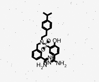 CC(C)c1ccc(CCN(Cc2cccc(C(=N)N)c2)S(=O)(=O)c2cc(C(=N)N)ccc2O)cc1